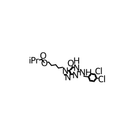 CC(C)C(=O)OCCCCCn1cnc2nc(NCc3ccc(Cl)c(Cl)c3)[nH]c(=O)c21